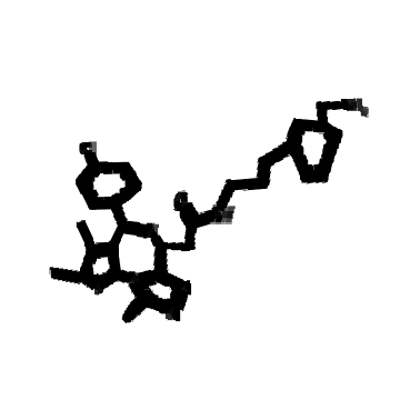 Cc1sc2c(c1C)C(c1ccc(Cl)cc1)=N[C@@H](CC(=O)NCCCc1cccc(CN)c1)c1nnc(C)n1-2